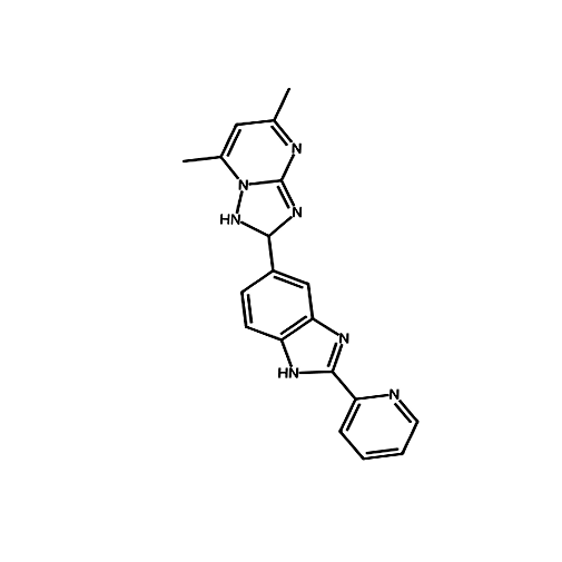 CC1=CC(C)=NC2=NC(c3ccc4[nH]c(-c5ccccn5)nc4c3)NN12